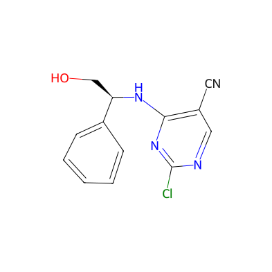 N#Cc1cnc(Cl)nc1N[C@H](CO)c1ccccc1